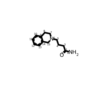 NC(=O)CCCN1CCc2ccccc2C1